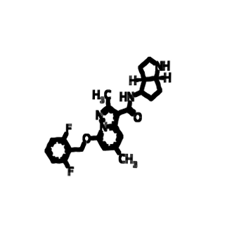 Cc1cc(OCc2c(F)cccc2F)n2nc(C)c(C(=O)NC3CC[C@H]4NCC[C@@H]34)c2c1